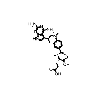 CC(CN(C)c1ccc(C(=O)N[C@@H](CCC(=O)O)C(=O)O)cc1)c1c[nH]c2nc(N)nc(N)c12